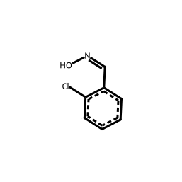 O/N=C\c1ccc[c]c1Cl